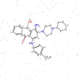 Nc1c(N2CCN(C3CCCCC3)CC2)cc(Nc2ccc(C(=O)O)cc2)c2c1C(O)c1ccccc1C2=O